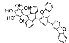 Cc1c(-c2ccc3oc4ccccc4c3c2)ccc(-c2c3ccccc3c(-c3c(O)c(O)c(O)c(O)c3O)c3ccccc23)c1Oc1ccccc1